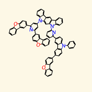 c1ccc(-n2c3ccc(-c4ccc5oc6ccccc6c5c4)cc3c3cc(-c4cccc(-n5c6ccccc6c6cc7c8ccccc8n(-c8cc(-c9ccc%10oc%11ccccc%11c%10c9)nc(-c9ccc%10oc%11ccccc%11c%10c9)c8)c7cc65)n4)ccc32)cc1